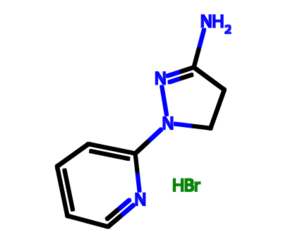 Br.NC1=NN(c2ccccn2)CC1